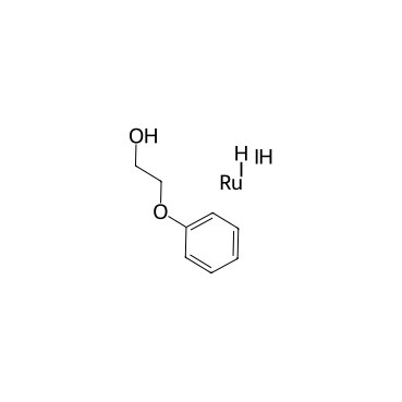 I.I.OCCOc1ccccc1.[Ru]